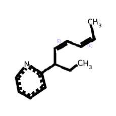 C/C=C\C=C/C(CC)c1ccccn1